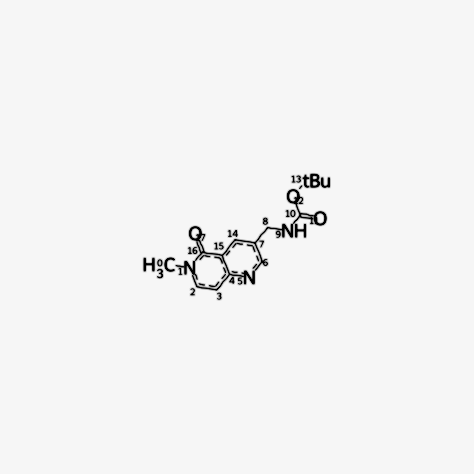 Cn1ccc2ncc(CNC(=O)OC(C)(C)C)cc2c1=O